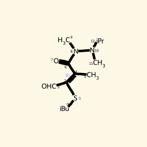 CCC(C)S/C(C=O)=C(\C)C(=O)N(C)N(C)C(C)C